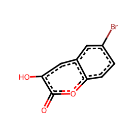 O=c1oc2ccc(Br)cc2cc1O